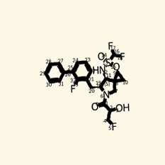 O=C(C(O)CF)N1CC2(CC2)[C@H](NS(=O)(=O)C(F)F)[C@@H]1Cc1cccc(-c2ccccc2)c1F